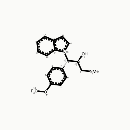 CNC[C@H](O)[C@H](c1ccc(OC(F)(F)F)cc1)n1ccc2ccccc21